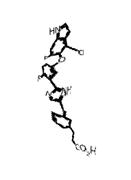 O=C(O)CCc1cccc(Cc2cnc(-c3cc(Oc4c(F)cc5[nH]ccc5c4Cl)ccc3F)[nH]2)c1